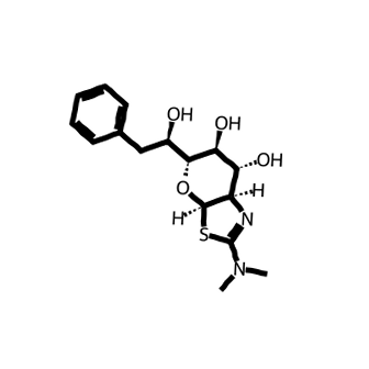 CN(C)C1=N[C@@H]2[C@@H](O)[C@H](O)[C@@H]([C@H](O)Cc3ccccc3)O[C@@H]2S1